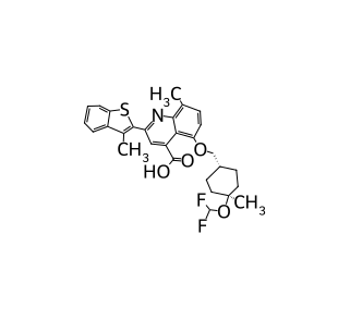 Cc1c(-c2cc(C(=O)O)c3c(OC[C@H]4CC[C@](C)(OC(F)F)CC4)ccc(C)c3n2)sc2ccccc12